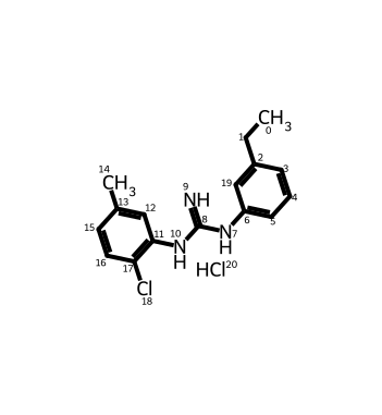 CCc1cccc(NC(=N)Nc2cc(C)ccc2Cl)c1.Cl